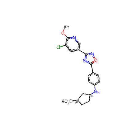 CC(C)Oc1ncc(-c2noc(-c3ccc(N[C@H]4CC[C@@H](C(=O)O)C4)cc3)n2)cc1Cl